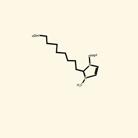 CCCCCCCCCCCCCCCCCCC1N(C)C=CN1CCCCCCC